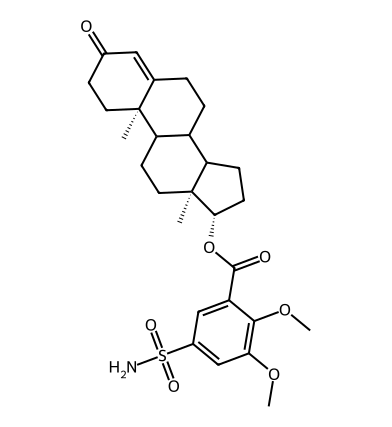 COc1cc(S(N)(=O)=O)cc(C(=O)O[C@H]2CCC3C4CCC5=CC(=O)CC[C@]5(C)C4CC[C@@]32C)c1OC